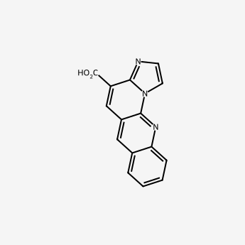 O=C(O)c1cc2cc3ccccc3nc2n2ccnc12